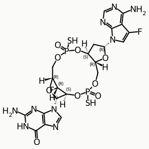 Nc1nc2c(ncn2[C@@H]2O[C@@H]3COP(=O)(S)O[C@H]4C[C@H](n5cc(F)c6c(N)ncnc65)O[C@@H]4COP(=O)(S)O[C@@H]2[C@@H]3F)c(=O)[nH]1